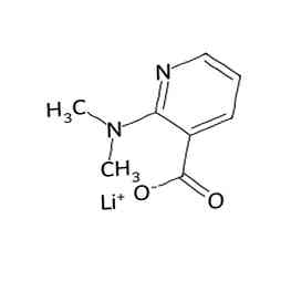 CN(C)c1ncccc1C(=O)[O-].[Li+]